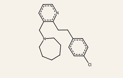 Clc1ccc(CCc2ncccc2CN2CCCCCC2)cc1